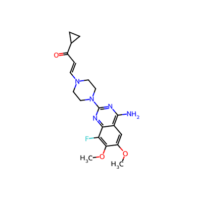 COc1cc2c(N)nc(N3CCN(C=CC(=O)C4CC4)CC3)nc2c(F)c1OC